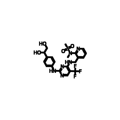 CN(c1ncccc1CNc1nc(Nc2ccc(C(O)CO)cc2)ncc1C(F)(F)F)S(C)(=O)=O